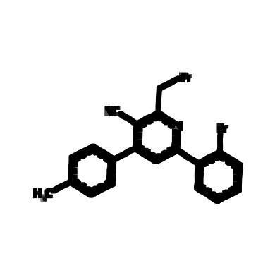 Cc1ccc(-c2cc(-c3ccccc3Br)nc(CC(C)C)c2C#N)cc1